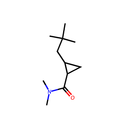 CN(C)C(=O)C1CC1CC(C)(C)C